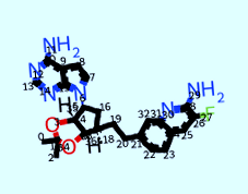 CC1(C)O[C@H]2[C@H](n3ccc4c(N)ncnc43)C[C@@](C)(CCc3ccc4cc(F)c(N)nc4c3)[C@H]2O1